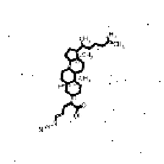 CC(C)CCCC(C)C1CCC2C3CC[C@H]4C[C@@H](C(CCCN=[N+]=[N-])C(=O)O)CC[C@]4(C)C3CC[C@]12C